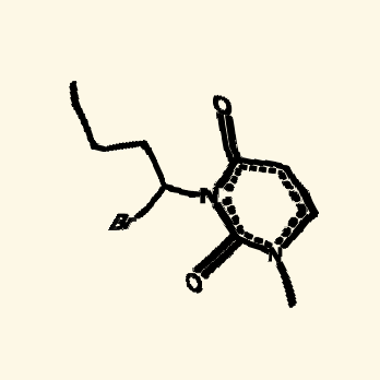 CCCC(Br)n1c(=O)ccn(C)c1=O